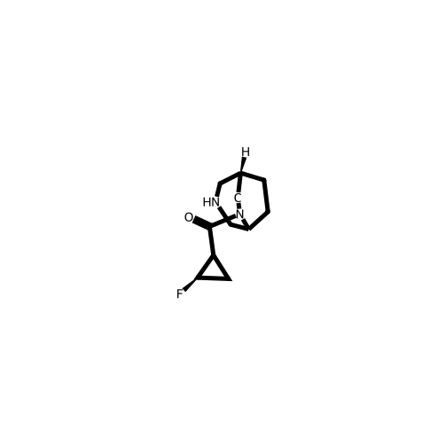 O=C(C1C[C@H]1F)N1C[C@H]2CCC1CNC2